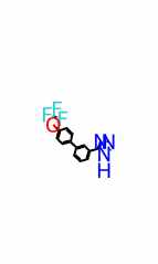 FC(F)(F)Oc1ccc(-c2cccc(-c3nnc[nH]3)c2)cc1